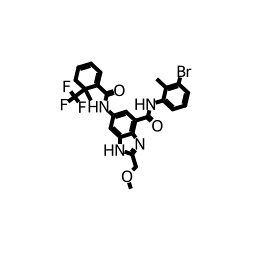 COCc1nc2c(C(=O)Nc3cccc(Br)c3C)cc(NC(=O)C3=CC=CCC3(C)C(F)(F)F)cc2[nH]1